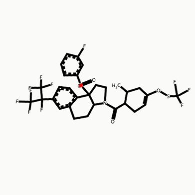 CC1CC(OSC(F)(F)F)=CCC1C(=O)N1CCC2(S(=O)(=O)c3cccc(F)c3)c3ccc(C(F)(C(F)(F)F)C(F)(F)F)cc3CCC12